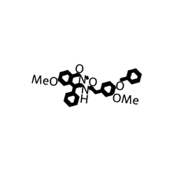 COc1ccc2c(=O)n(C)c(NC(=O)Cc3ccc(OCc4ccccc4)c(OC)c3)c(-c3ccccc3)c2c1